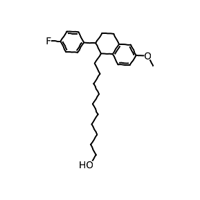 COc1ccc2c(c1)CCC(c1ccc(F)cc1)C2CCCCCCCCCCO